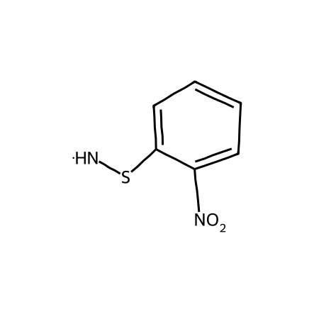 [NH]Sc1ccccc1[N+](=O)[O-]